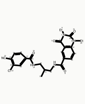 CCn1c(=O)c2cc(C(=O)NCC(C)CNC(=O)c3ccc(C#N)c(Cl)c3)ccc2n(CC)c1=O